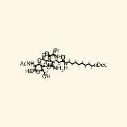 CCCCCCCCCCCCCCCCCCNC(=O)CC[C@H](C(N)=O)N(CC(C)O[C@H]1[C@H](O)[C@@H](CO)O[C@H](O)[C@@H]1NC(C)=O)C(=O)[C@@H](N)C(C)C